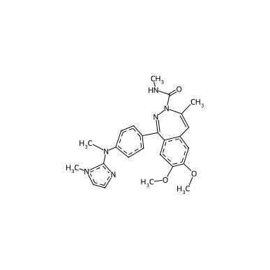 CNC(=O)N1N=C(c2ccc(N(C)c3nccn3C)cc2)c2cc(OC)c(OC)cc2C=C1C